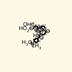 CN(C)c1ccc(C(=O)NN2CCC(=O)N3CCCC(C(=O)NC(C=O)CC(=O)O)N3C2=O)cc1